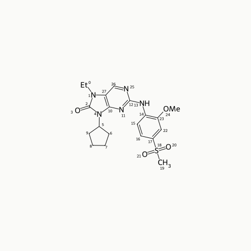 CCn1c(=O)n(C2CCCC2)c2nc(Nc3ccc(S(C)(=O)=O)cc3OC)ncc21